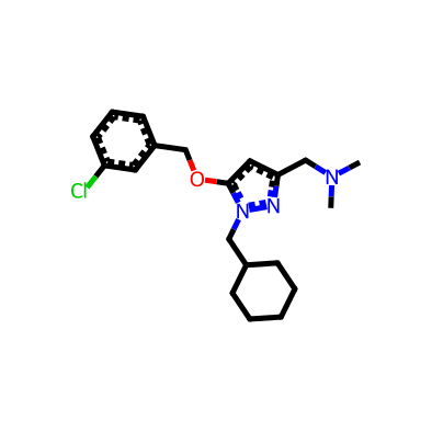 CN(C)Cc1cc(OCc2cccc(Cl)c2)n(CC2CCCCC2)n1